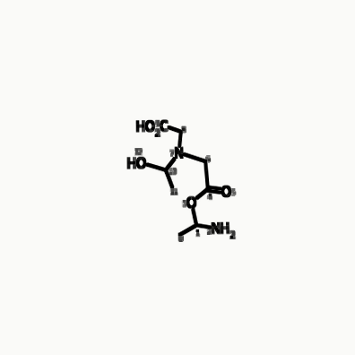 CC(N)OC(=O)CN(CC(=O)O)C(C)O